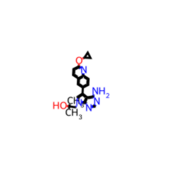 CC(C)(O)Cn1cc(-c2ccc3nc(OC4CC4)ccc3c2)c2c(N)ncnc21